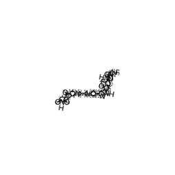 O=C1CCC(N2Cc3cc(N4CC(C5CN(c6ccc(-c7cnc8[nH]cc(C(=O)c9c(F)ccc(NS(=O)(=O)N%10CC[C@@H](F)C%10)c9F)c8c7)cc6)C5)C4)ccc3C2=O)C(=O)N1